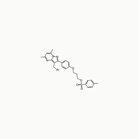 CC(=O)Cc1c(-c2ccc(OCCCOS(=O)(=O)c3ccc(C)cc3)cc2)nn2c(C)cc(C)nc12